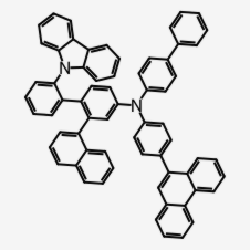 c1ccc(-c2ccc(N(c3ccc(-c4cc5ccccc5c5ccccc45)cc3)c3ccc(-c4ccccc4-n4c5ccccc5c5ccccc54)c(-c4cccc5ccccc45)c3)cc2)cc1